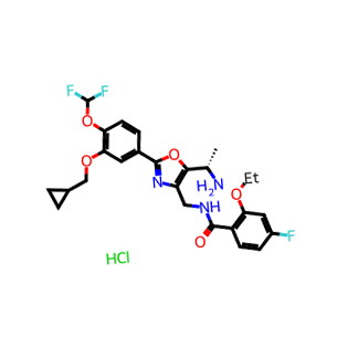 CCOc1cc(F)ccc1C(=O)NCc1nc(-c2ccc(OC(F)F)c(OCC3CC3)c2)oc1[C@H](C)N.Cl